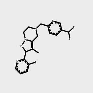 CC1=C2CN(Cc3ccc(C(F)F)cn3)CCN2NC1c1ncccc1F